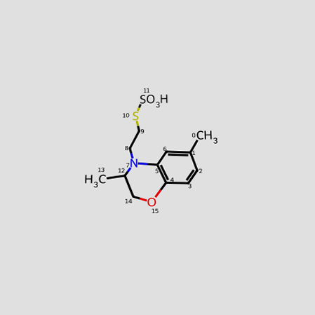 Cc1ccc2c(c1)N(CCSS(=O)(=O)O)C(C)CO2